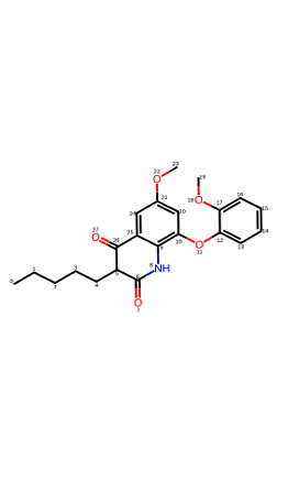 CCCCCC1C(=O)Nc2c(Oc3ccccc3OC)cc(OC)cc2C1=O